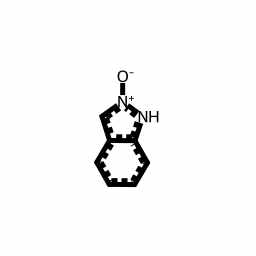 [O-][n+]1cc2ccccc2[nH]1